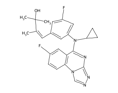 CC(=Cc1cc(F)cc(N(c2nc3nncn3c3ccc(F)cc23)C2CC2)c1)C(C)(C)O